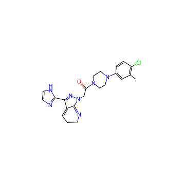 Cc1cc(N2CCN(C(=O)Cn3nc(-c4ncc[nH]4)c4cccnc43)CC2)ccc1Cl